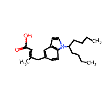 CCCCC(CCCC)n1ccc2cc(CC(C)=CC(=O)O)ccc21